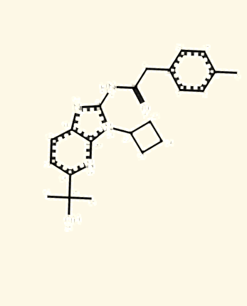 Cc1ccc(CC(=O)Nc2nc3ccc(C(C)(C)O)nc3n2C2CCC2)cc1